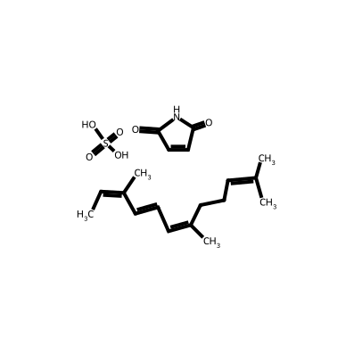 CC=C(C)C=CC=C(C)CCC=C(C)C.O=C1C=CC(=O)N1.O=S(=O)(O)O